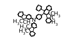 CC1(C)c2ccccc2-c2ccc(N(c3ccc(-c4c5c(c6ccccc6c4-c4ccccc4)C(C)(C)c4ccccc4-5)cc3)c3ccc4c(c3)C(C)(C)c3ccccc3-4)cc21